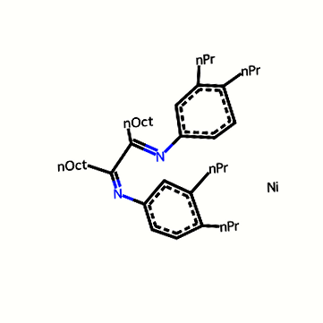 CCCCCCCCC(=Nc1ccc(CCC)c(CCC)c1)C(CCCCCCCC)=Nc1ccc(CCC)c(CCC)c1.[Ni]